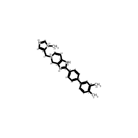 Cc1ccc(-c2ccc(-c3nc4c([nH]3)C=CN(Cc3cncn3C)C4)cc2)cc1C